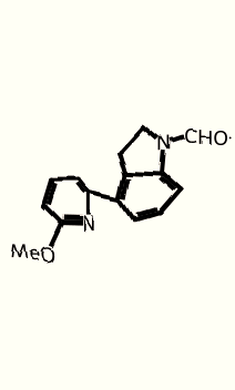 COc1cccc(-c2cccc3c2CCN3[C]=O)n1